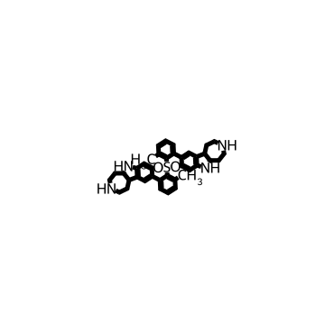 Cc1cccc(-c2ccc3c(c2)C2CCNCCC2N3)c1S(=O)(=O)c1c(C)cccc1-c1ccc2c(c1)C1CCNCCC1N2